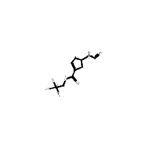 O=CNC1CC=C(C(=O)OCC(F)(F)F)C1